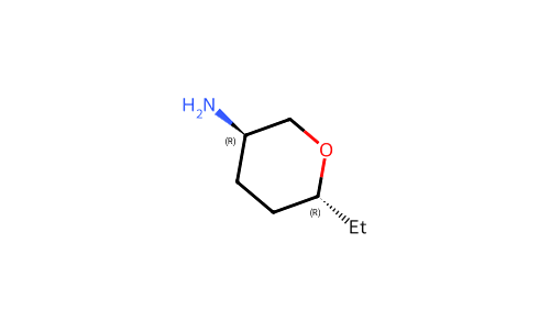 CC[C@@H]1CC[C@@H](N)CO1